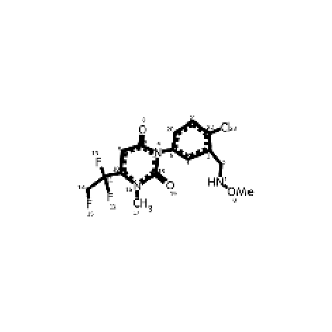 CONCc1cc(-n2c(=O)cc(C(F)(F)CF)n(C)c2=O)ccc1Cl